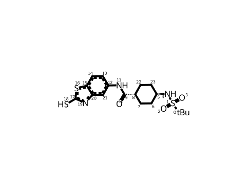 CC(C)(C)S(=O)(=O)N[C@H]1CC[C@H](C(=O)Nc2ccc3sc(S)nc3c2)CC1